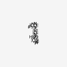 O=C(Nc1cccc(C(F)(F)F)c1)N1CCC2(CC1)CC(c1ccnc3ccc(F)cc13)C2